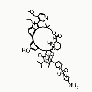 CCn1c(-c2cnccc2COC)c2c3cc(ccc31)-c1cc(O)cc(c1)C[C@H](NC(=O)[C@H](C(C)C)N(C)C(=O)[C@H]1CCN(S(=O)(=O)N3CC(N)C3)C1)C(=O)N1CCC[C@H](N1)C(=O)OCC(C)(C)C2